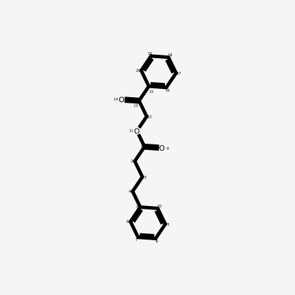 O=C(CCCc1ccccc1)OCC(=O)c1ccccc1